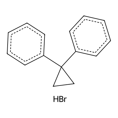 Br.c1ccc(C2(c3ccccc3)CC2)cc1